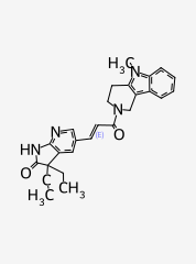 CCC1(CC)C(=O)Nc2ncc(/C=C/C(=O)N3CCc4c(c5ccccc5n4C)C3)cc21